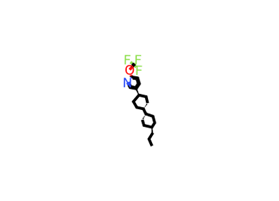 CCC[C@H]1CC[C@H]([C@H]2CC[C@H](c3ccc(OC(F)(F)F)nc3)CC2)CC1